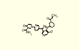 C=CC(=O)N1CCC[C@@H](n2nc(-c3cnc(-n4ccc(=O)c(C(N)=O)c4)nc3)c3cncc(Cl)c32)C1